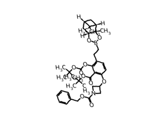 CC(C)(C)OC(=O)Oc1c(CCB2O[C@@H]3C[C@@H]4C[C@@H](C4(C)C)[C@]3(C)O2)ccc(OC2CN(C(=O)OCc3ccccc3)C2)c1C(=O)OC(C)(C)C